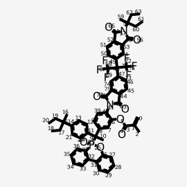 C=C(C)C(=O)Oc1cc(C(C)(c2ccc(C(C)(CC)CC)cc2)P2(=O)Oc3ccccc3-c3ccccc32)ccc1N1C(=O)c2ccc(C(c3ccc4c(c3)C(=O)N(C(C)(CC)CC)C4=O)(C(F)(F)F)C(F)(F)F)cc2C1=O